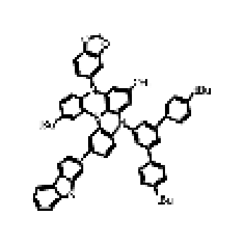 Cc1cc2c3c(c1)N(c1ccc4c(c1)OCO4)c1ccc(C(C)(C)C)cc1B3c1cc(-c3ccc4c(c3)sc3ccccc34)ccc1N2c1cc(-c2ccc(C(C)(C)C)cc2)cc(-c2ccc(C(C)(C)C)cc2)c1